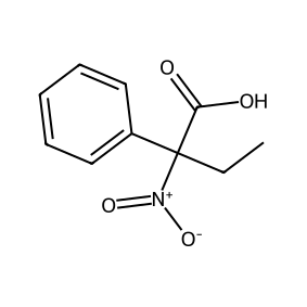 CCC(C(=O)O)(c1ccccc1)[N+](=O)[O-]